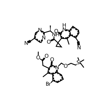 COC(=O)Cc1c(C)c2c(Br)cccc2n(COCC[Si](C)(C)C)c1=O.Cc1c(C2(C(=O)N[C@H](C)c3ncc(C#N)cn3)CC2)c(=O)[nH]c2cccc(C#N)c12